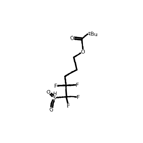 CC(C)(C)C(=O)OCCCC(F)(F)C(F)(F)[SH](=O)=O